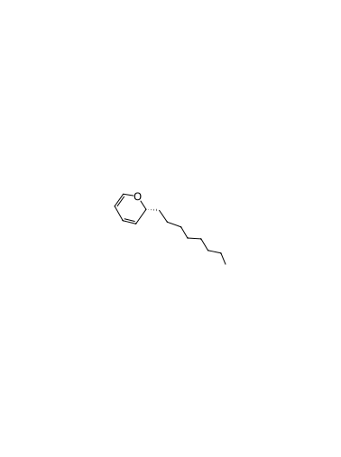 CCCCCCCC[C@@H]1C=CC=CO1